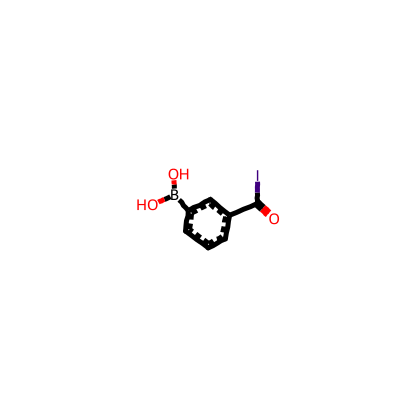 O=C(I)c1cccc(B(O)O)c1